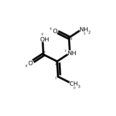 CC=C(NC(N)=O)C(=O)O